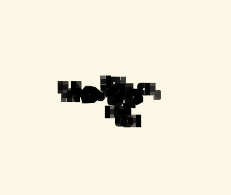 C[C@H]1CCN(CCP(=O)(O)O)[C@@H](C(=O)N[C@@H](C)C(=O)NCc2ccc(C(=N)N)cc2)C1